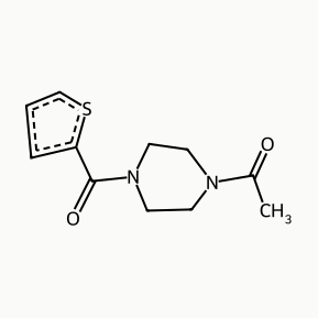 CC(=O)N1CCN(C(=O)c2cccs2)CC1